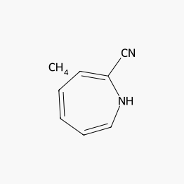 C.N#CC1=CC=CC=CN1